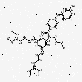 CCCCn1c(-c2ccc(Sc3nccc(C)n3)cc2)nc2c(OCCCN(CC)CC)cc(OCCCN(CC)CC)cc21